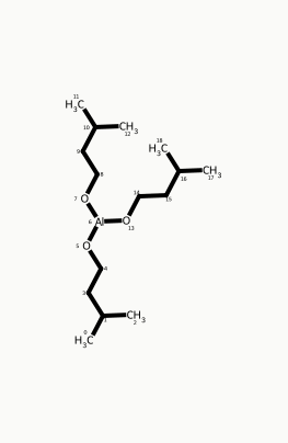 CC(C)CC[O][Al]([O]CCC(C)C)[O]CCC(C)C